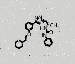 C[C@@H](Cn1cc(-c2cccc(OCCC3CCCCC3)c2)nn1)NC(=O)Nc1ccccc1